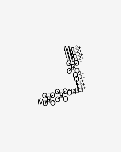 O=P([O-])([O-])[O-].O=P([O-])([O-])[O-].O=P([O-])([O-])[O-].[Li+].[Li+].[Li+].[Li+].[Li+].[Mn+2].[Mn+2].[Mn+2].[Mn+2].[Mn+2].[O-2].[O-2].[O-2]